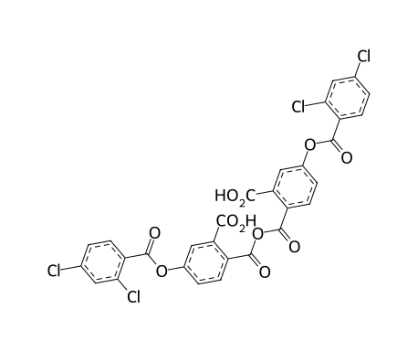 O=C(Oc1ccc(C(=O)OC(=O)c2ccc(OC(=O)c3ccc(Cl)cc3Cl)cc2C(=O)O)c(C(=O)O)c1)c1ccc(Cl)cc1Cl